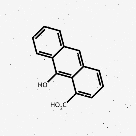 O=C(O)c1cccc2cc3ccccc3c(O)c12